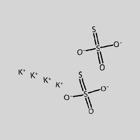 O=S([O-])([O-])=S.O=S([O-])([O-])=S.[K+].[K+].[K+].[K+]